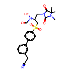 CN1C(=O)N(CC(CS(=O)(=O)c2ccc(-c3cccc(CC#N)c3)cc2)N(O)C=O)C(=O)C1(C)C